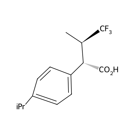 CC(C)c1ccc([C@@H](C(=O)O)[C@@H](C)C(F)(F)F)cc1